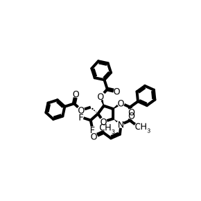 CC(=O)/C=C\N(C(C)=O)[C@@H]1O[C@@](COC(=O)c2ccccc2)(C(F)F)[C@@H](OC(=O)c2ccccc2)[C@H]1OC(=O)c1ccccc1